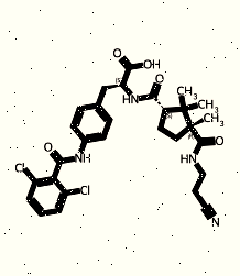 CC1(C)[C@@H](C(=O)N[C@@H](Cc2ccc(NC(=O)c3c(Cl)cccc3Cl)cc2)C(=O)O)CC[C@@]1(C)C(=O)NCCC#N